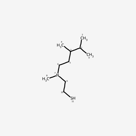 CC(C)C(C)CCN(C)CCS